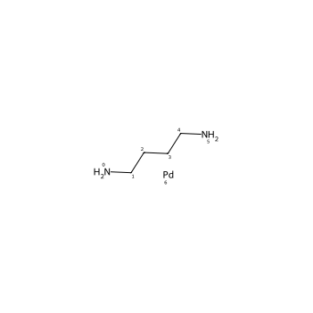 NCCCCN.[Pd]